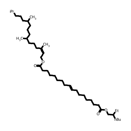 CCCCC(CC)COC(=O)CCCCCCCC=CCCCCCCCC(=O)OCC=C(C)CCCC(C)CCCC(C)CCCC(C)C